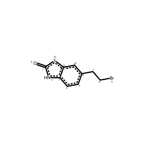 O=c1[nH]c2ccc(CCBr)cc2s1